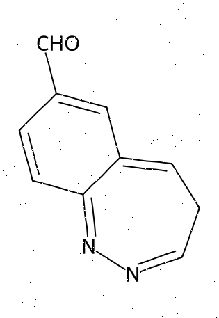 O=Cc1ccc2c(c1)=CCC=NN=2